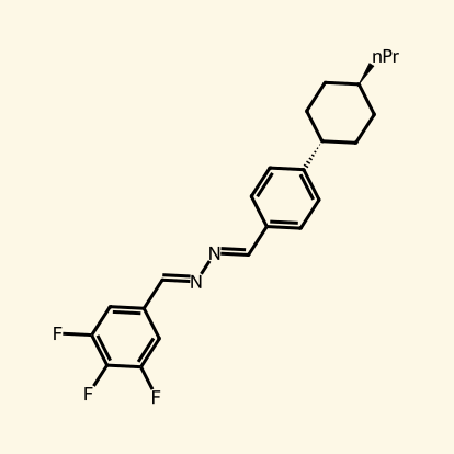 CCC[C@H]1CC[C@H](c2ccc(C=NN=Cc3cc(F)c(F)c(F)c3)cc2)CC1